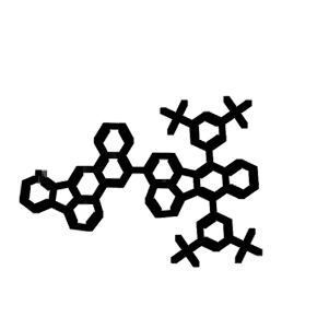 CC(C)(C)c1cc(-c2c3c(c(-c4cc(C(C)(C)C)cc(C(C)(C)C)c4)c4ccccc24)-c2ccc(-c4cc5c6cccc7c6c(cc5c5ccccc45)-c4ncccc4-7)c4cccc-3c24)cc(C(C)(C)C)c1